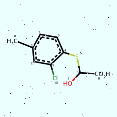 Cc1ccc(SC(O)C(=O)O)c(Cl)c1